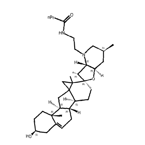 CCCC(=O)NCCN1C[C@@H](C)C[C@H]2O[C@]3(CC[C@H]4[C@@H]5CC=C6C[C@@H](O)CC[C@]6(C)[C@H]5CC45CC53C)[C@H](C)[C@@H]21